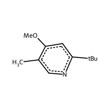 COc1cc(C(C)(C)C)ncc1C